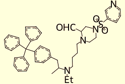 CCN(CCCCN1CCN(S(=O)(=O)c2cccnc2)CC1C=O)C(C)Cc1ccc(C(c2ccccc2)(c2ccccc2)c2ccccc2)cc1